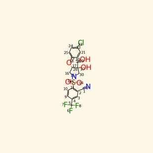 N#Cc1cc(C(F)(F)F)ccc1S(=O)(=O)N1C[C@H](Oc2ccc(Cl)cc2)[C@](O)(CO)C1